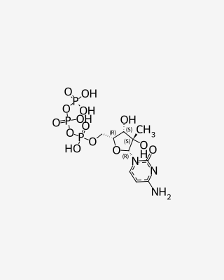 C[C@]1(O)[C@@H](O)[C@@H](COP(=O)(O)OP(=O)(O)OP(=O)(O)O)O[C@H]1n1ccc(N)nc1=O